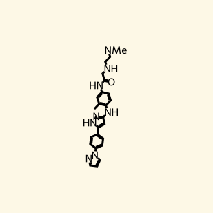 CNCCNCC(=O)Nc1ccc(Nc2cc(-c3ccc(-n4cccn4)cc3)[nH]n2)c(C)c1